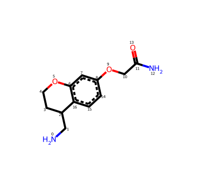 NCC1CCOc2cc(OCC(N)=O)ccc21